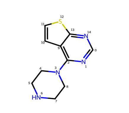 c1nc(N2CCNCC2)c2ccsc2n1